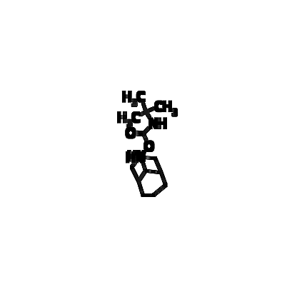 CC(C)(C)NC(=O)ONC1C2CCCC1CNC2